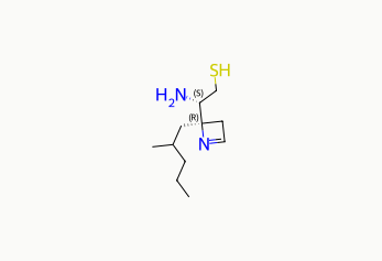 CCCC(C)C[C@]1([C@H](N)CS)CC=N1